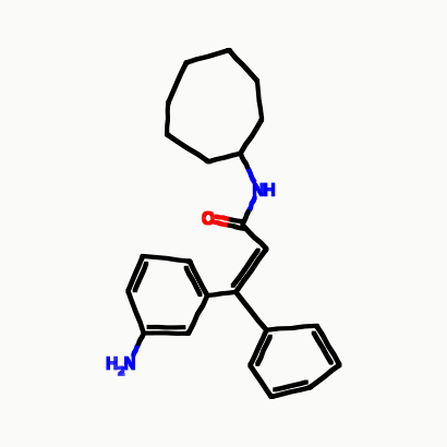 Nc1cccc(C(=CC(=O)NC2CCCCCCC2)c2ccccc2)c1